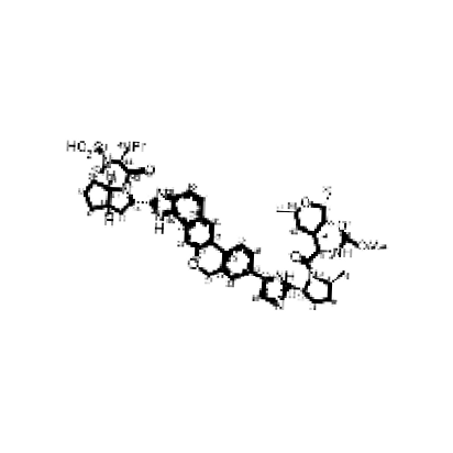 COC(=O)N[C@H](C(=O)N1[C@@H](C)CC[C@H]1c1ncc(-c2ccc3c(c2)COc2cc4c(ccc5nc([C@@H]6C[C@@H]7CCC[C@@H]7N6C(=O)[C@H](C(C)C)N(C)C(=O)O)[nH]c54)cc2-3)[nH]1)C1C[C@@H](C)O[C@H](C)C1